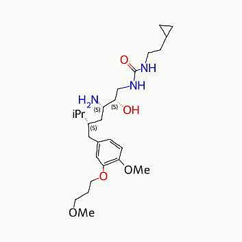 COCCCOc1cc(C[C@@H](C[C@H](N)[C@@H](O)CNC(=O)NCCC2CC2)C(C)C)ccc1OC